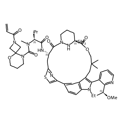 C=CC(=O)N1CC2(C1)OCCCN2C(=O)N(C)[C@H](C(=O)N[C@H]1Cc2nc(cs2)-c2ccc3c(c2)c(c(-c2cccnc2[C@H](C)OC)n3CC)CC(C)(C)COC(=O)[C@@]2([SiH3])CCCN(N2)C1=O)C(C)C